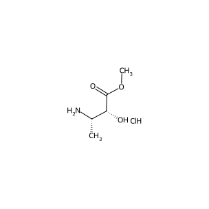 COC(=O)[C@H](O)[C@H](C)N.Cl